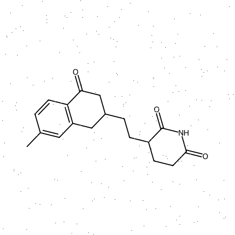 Cc1ccc2c(c1)CC(CCC1CCC(=O)NC1=O)CC2=O